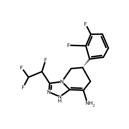 NC1=C2NN=C(C(F)C(F)F)N2C[C@H](c2cccc(F)c2F)C1